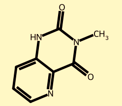 Cn1c(=O)[nH]c2cccnc2c1=O